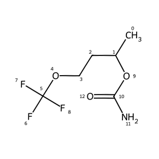 CC(CCOC(F)(F)F)OC(N)=O